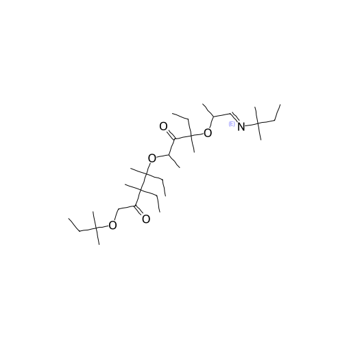 CCC(C)(C)/N=C/C(C)OC(C)(CC)C(=O)C(C)OC(C)(CC)C(C)(CC)C(=O)COC(C)(C)CC